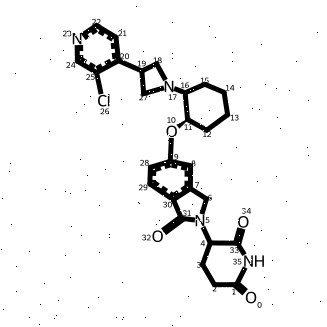 O=C1CCC(N2Cc3cc(O[C@@H]4CCCCC4N4CC(c5ccncc5Cl)C4)ccc3C2=O)C(=O)N1